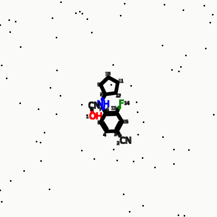 N#CO.N#Cc1ccc(NC2CCCC2)c(F)c1